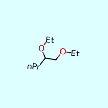 CCCC(COCC)OCC